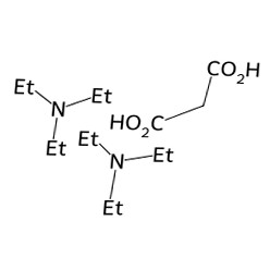 CCN(CC)CC.CCN(CC)CC.O=C(O)CC(=O)O